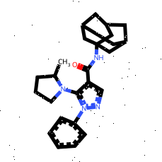 CC1CCCN1c1c(C(=O)NC23CC4CC(CC(C4)C2)C3)cnn1-c1ccccc1